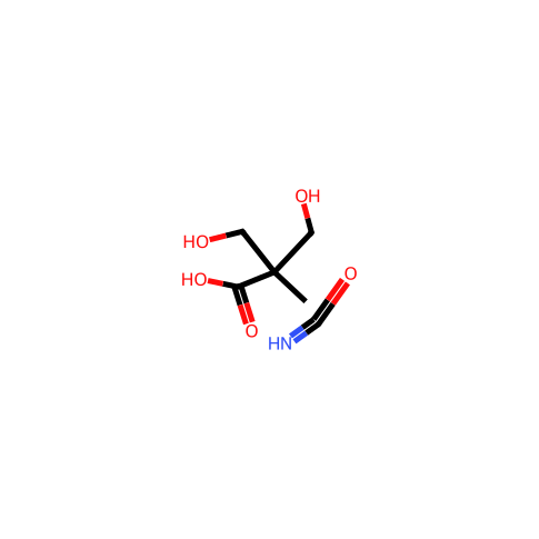 CC(CO)(CO)C(=O)O.N=C=O